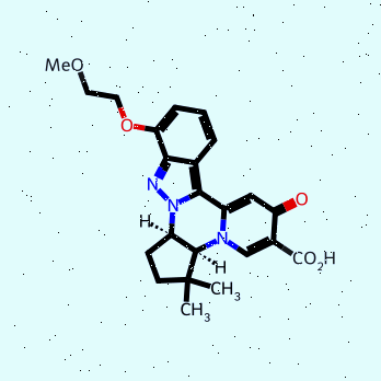 COCCOc1cccc2c3n(nc12)[C@@H]1CCC(C)(C)[C@@H]1n1cc(C(=O)O)c(=O)cc1-3